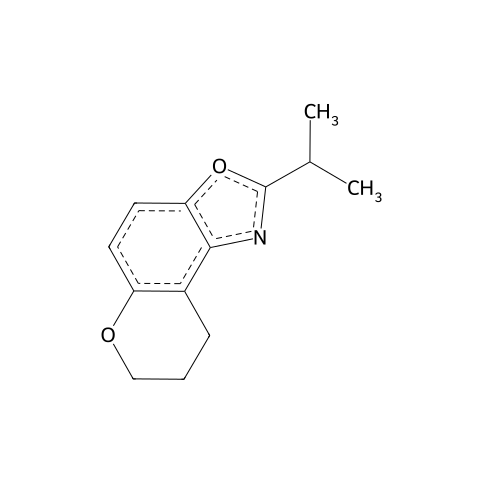 CC(C)c1nc2c3c(ccc2o1)OCCC3